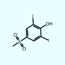 CS(=O)(=O)c1cc(I)c(O)c(I)c1